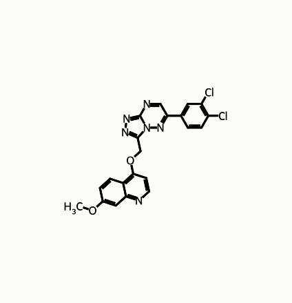 COc1ccc2c(OCc3nnc4ncc(-c5ccc(Cl)c(Cl)c5)nn34)ccnc2c1